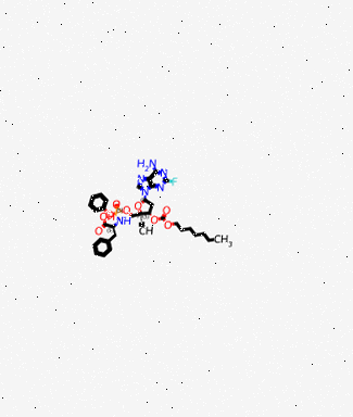 C#C[C@]1(CO[P@@](=O)(N[C@@H](Cc2ccccc2)C(=O)O)Oc2ccccc2)O[C@@H](n2cnc3c(N)nc(F)nc32)C[C@@H]1OC(=O)OCCCCCCC